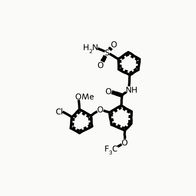 COc1c(Cl)cccc1Oc1cc(OC(F)(F)F)ccc1C(=O)Nc1cccc(S(N)(=O)=O)c1